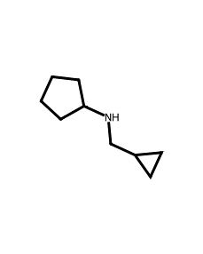 C1CC[C](NCC2CC2)C1